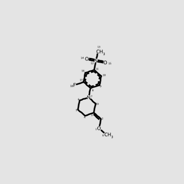 CO/C=C1\CCCN(c2ccc(S(C)(=O)=O)cc2F)C1